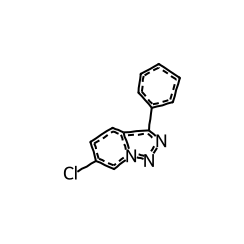 Clc1ccc2c(-c3ccccc3)nnn2c1